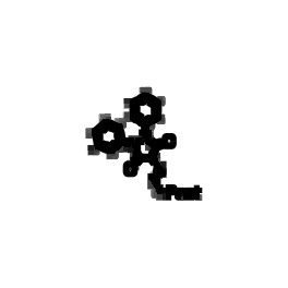 CCCCCN=NC1C(=O)N(c2ccccc2)N(c2ccccc2)C1=O